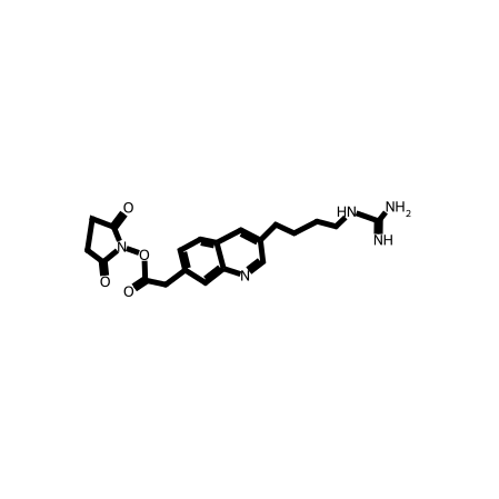 N=C(N)NCCCCc1cnc2cc(CC(=O)ON3C(=O)CCC3=O)ccc2c1